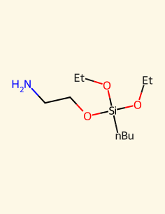 CCCC[Si](OCC)(OCC)OCCN